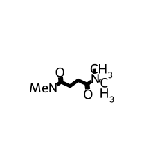 CNC(=O)CCC(=O)N(C)C